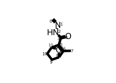 C=NNC(=O)C1=C(C)C2CCC1O2